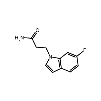 NC(=O)CCn1ccc2ccc(F)cc21